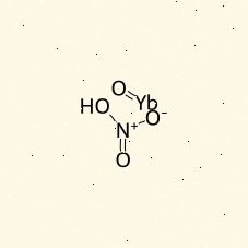 O=[N+]([O-])O.[O]=[Yb]